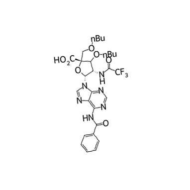 CCCCOC[C@@]1(C(=O)O)O[C@@H](n2cnc3c(NC(=O)c4ccccc4)ncnc32)[C@@H](NC(=O)C(F)(F)F)C1OCCCC